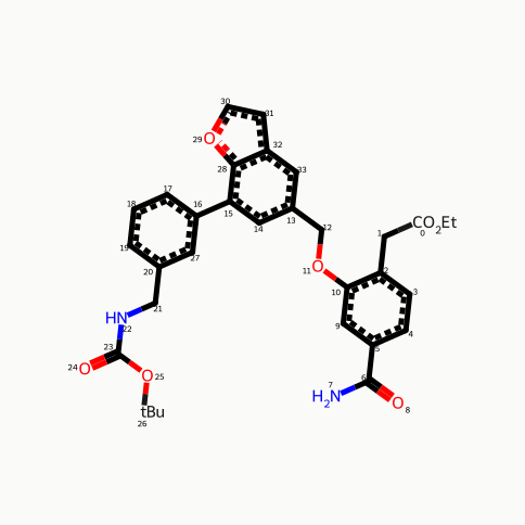 CCOC(=O)Cc1ccc(C(N)=O)cc1OCc1cc(-c2cccc(CNC(=O)OC(C)(C)C)c2)c2occc2c1